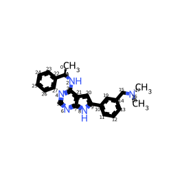 C[C@@H](Nc1ncnc2[nH]c(-c3cccc(CN(C)C)c3)cc12)c1ccccc1